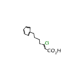 O=C(O)/C=C(\Cl)CCCCc1ccccc1